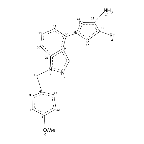 COc1ccc(Cn2ncc3c(-c4nc(N)c(Br)o4)cccc32)cc1